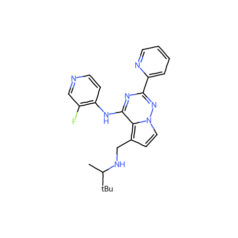 CC(NCc1ccn2nc(-c3ccccn3)nc(Nc3ccncc3F)c12)C(C)(C)C